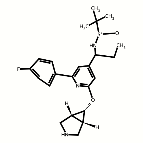 CCC(N[S+]([O-])C(C)(C)C)c1cc(O[C@@H]2[C@@H]3CNC[C@@H]32)nc(-c2ccc(F)cc2)c1